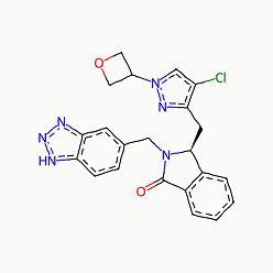 O=C1c2ccccc2[C@H](Cc2nn(C3COC3)cc2Cl)N1Cc1ccc2[nH]nnc2c1